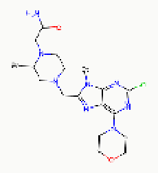 CCn1c(CN2CCN(CC(N)=O)C(C(C)C)C2)nc2c(N3CCOCC3)nc(Cl)nc21